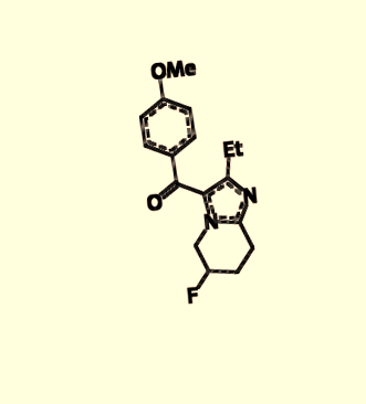 CCc1nc2n(c1C(=O)c1ccc(OC)cc1)CC(F)CC2